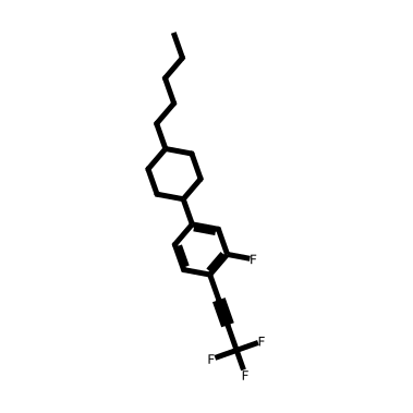 CCCCCC1CCC(c2ccc(C#CC(F)(F)F)c(F)c2)CC1